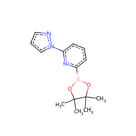 CC1(C)OB(c2cccc(-n3cccn3)n2)OC1(C)C